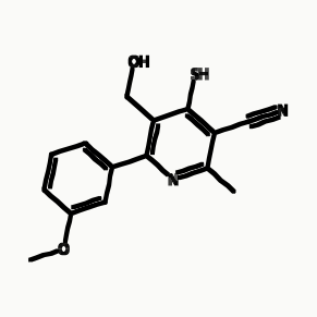 COc1cccc(-c2nc(C)c(C#N)c(S)c2CO)c1